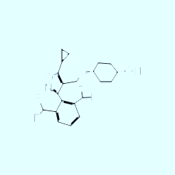 O[C@H]1[CH]C[C@H](OCc2c(-c3c(C(F)F)cccc3C(F)F)noc2C2CC2)CC1